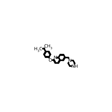 CC(C)c1ccc(Oc2ccc3cc(CN4CCNCC4)ccc3n2)cc1